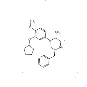 COc1ccc(N2C[C@H](Cc3ccccc3)NC[C@H]2C)cc1OC1CCCC1